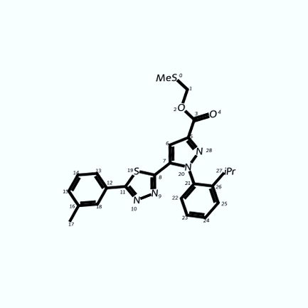 CSCOC(=O)c1cc(-c2nnc(-c3cccc(C)c3)s2)n(-c2ccccc2C(C)C)n1